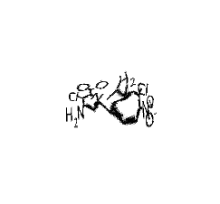 COC(=O)c1nc(-c2ccc([N+](=O)[O-])c(Cl)c2N)cc(N)c1Cl